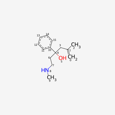 C=C(C)CC(O)(CCNC)c1ccccc1